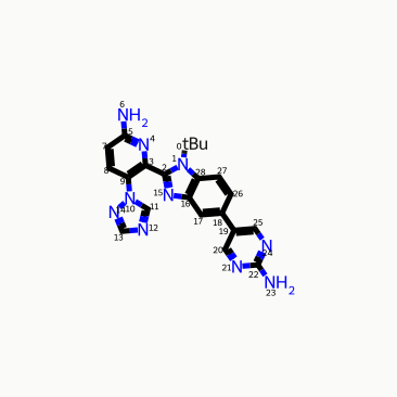 CC(C)(C)n1c(-c2nc(N)ccc2-n2cncn2)nc2cc(-c3cnc(N)nc3)ccc21